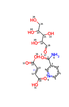 NC(=O)c1cccnc1.O=C(O)/C=C/C(=O)O.O=CC(O)C(O)C(O)CO